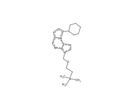 C[Si](C)(C)CCOCn1ccc2c1ncc1ccc(C3CCCCC3)n12